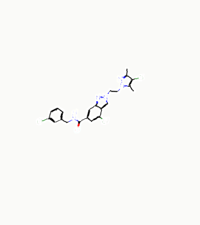 Cc1nn(CCn2cc3c(Cl)cc(C(=O)NCc4cccc(Cl)c4)cc3n2)c(C)c1Cl